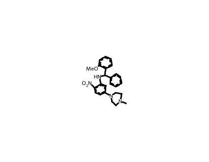 COc1ccccc1C(Nc1cc(N2CCN(C)CC2)ccc1[N+](=O)[O-])c1ccccc1